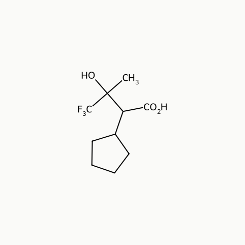 CC(O)(C(C(=O)O)C1CCCC1)C(F)(F)F